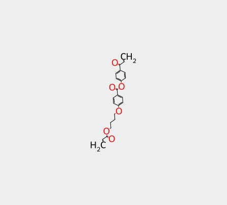 C=CC(=O)OCCCCOc1ccc(C(=O)Oc2ccc(C(=O)C=C)cc2)cc1